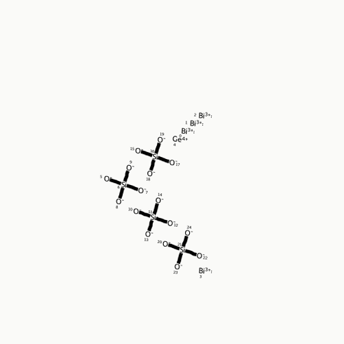 [Bi+3].[Bi+3].[Bi+3].[Bi+3].[Ge+4].[O-][Si]([O-])([O-])[O-].[O-][Si]([O-])([O-])[O-].[O-][Si]([O-])([O-])[O-].[O-][Si]([O-])([O-])[O-]